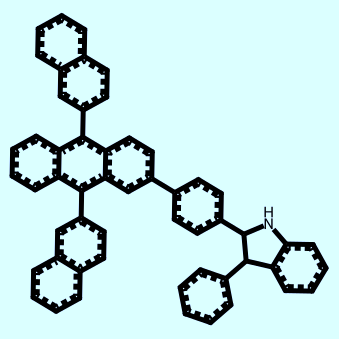 c1ccc(C2c3ccccc3NC2c2ccc(-c3ccc4c(-c5ccc6ccccc6c5)c5ccccc5c(-c5ccc6ccccc6c5)c4c3)cc2)cc1